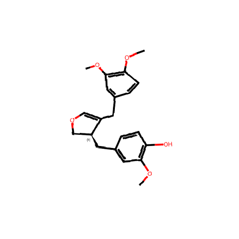 COc1cc(C[C@H]2COC=C2Cc2ccc(OC)c(OC)c2)ccc1O